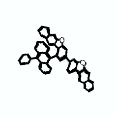 c1ccc(-c2c3ccccc3c(-c3cc(-c4ccc5c(c4)oc4cc6ccccc6cc45)cc4oc5cc6ccccc6cc5c34)c3ccccc23)cc1